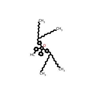 C#Cc1cccc(C2=C(c3ccc(CC(CCCCCCCCCC)CCCCCCCCCCCC)cc3)C(=O)C(c3ccc(CC(CCCCCCCCCC)CCCCCCCCCCCC)cc3)=C2c2ccccc2)c1